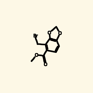 COC(=O)c1ccc2c(c1CBr)OCO2